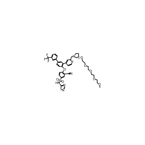 COCCOCCOCCOCCO[C@H]1CCN(Cc2cc(-c3cc(-c4cccc(C(F)(F)F)c4)ccc3Oc3ccc(S(=O)(=O)Nc4ncns4)cc3C#N)ccn2)C1